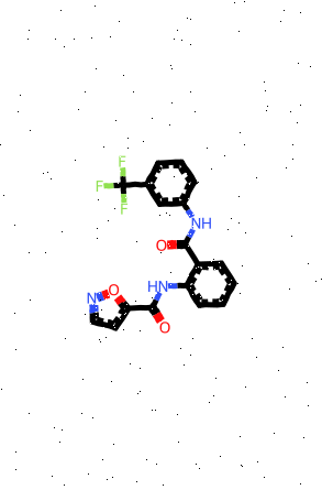 O=C(Nc1ccccc1C(=O)Nc1cccc(C(F)(F)F)c1)c1ccno1